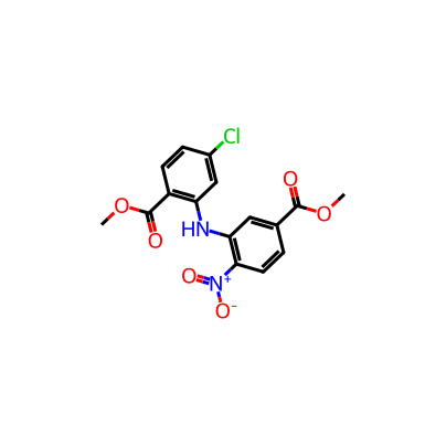 COC(=O)c1ccc([N+](=O)[O-])c(Nc2cc(Cl)ccc2C(=O)OC)c1